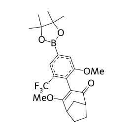 COC1=C(c2c(OC)cc(B3OC(C)(C)C(C)(C)O3)cc2C(F)(F)F)C(=O)C2CCC1C2